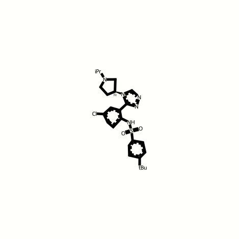 CC(C)N1CC[C@H](n2cnnc2-c2cc(Cl)ccc2NS(=O)(=O)c2ccc(C(C)(C)C)cc2)C1